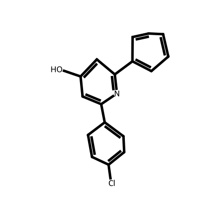 Oc1cc(-c2ccccc2)nc(-c2ccc(Cl)cc2)c1